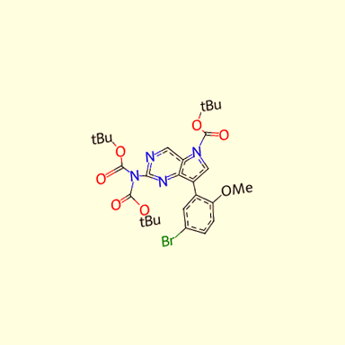 COc1ccc(Br)cc1-c1cn(C(=O)OC(C)(C)C)c2cnc(N(C(=O)OC(C)(C)C)C(=O)OC(C)(C)C)nc12